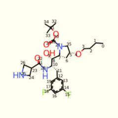 CCCCO[C@@H]1C[C@H]([C@@H](O)[C@H](Cc2cc(F)cc(F)c2)NC(=O)C2CNC2)N(C(=O)OC(C)(C)C)C1